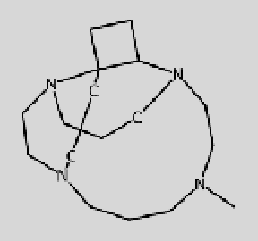 CN1CCCN2CCN3CCCN(CC1)C1CCC13CC2